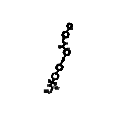 CC(C)[C@@H](NS(=O)(=O)N1CCN(c2ccc(C#Cc3ccnc(C(=O)NCc4ccc(-n5cccn5)cc4)c3)cc2)CC1)C(=O)O